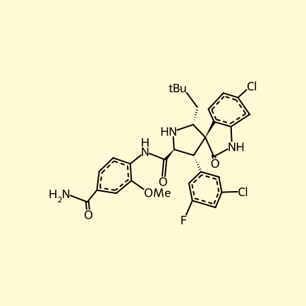 COc1cc(C(N)=O)ccc1NC(=O)[C@H]1N[C@H](CC(C)(C)C)[C@]2(C(=O)Nc3cc(Cl)ccc32)[C@@H]1c1cc(F)cc(Cl)c1